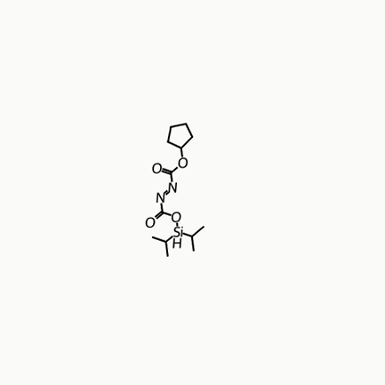 CC(C)[SiH](OC(=O)N=NC(=O)OC1CCCC1)C(C)C